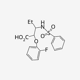 CCC(NS(=O)(=O)c1ccccc1)C(Oc1ccccc1F)C(=O)O